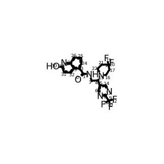 O=C(NCC(c1cnc(C(F)(F)F)nc1)N1CCC(F)(F)CC1)c1cccc2nc(O)ccc12